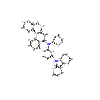 c1ccc(N(c2cccc(-n3c4ccccc4c4ccccc43)c2)c2cc3ccc4ccccc4c3c3ccccc23)cc1